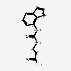 O=C(O)CCNC(=O)Nc1cccc2cc[nH]c12